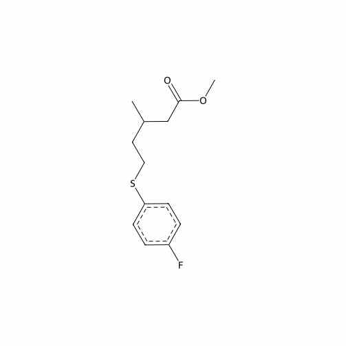 COC(=O)CC(C)CCSc1ccc(F)cc1